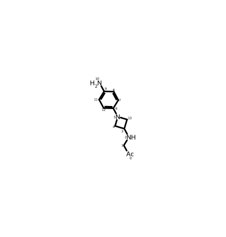 CC(=O)CNC1CN(c2ccc(N)cc2)C1